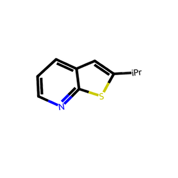 CC(C)c1cc2cccnc2s1